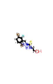 OCCNC(=S)NCc1c(Br)ccc(Br)c1F